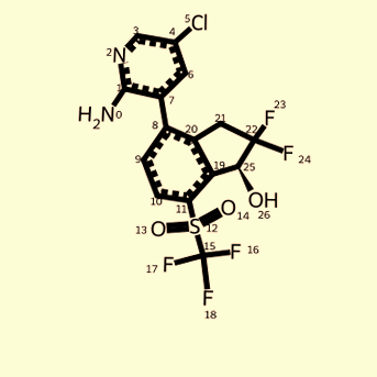 Nc1ncc(Cl)cc1-c1ccc(S(=O)(=O)C(F)(F)F)c2c1CC(F)(F)[C@H]2O